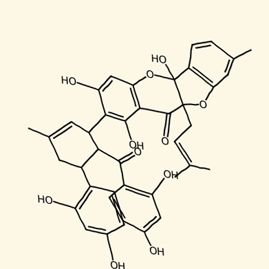 CC(C)=CCC12Oc3cc(C)ccc3C1(O)Oc1cc(O)c(C3C=C(C)CC(c4ccc(O)cc4O)C3C(=O)c3ccc(O)cc3O)c(O)c1C2=O